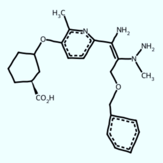 Cc1nc(/C(N)=C(\COCc2ccccc2)N(C)N)ccc1OC1CCC[C@H](C(=O)O)C1